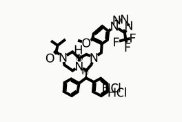 COc1ccc(-n2nnnc2C(F)(F)F)cc1CN1C[C@@H]2CN(C(=O)C(C)C)CCN2[C@H](C(c2ccccc2)c2ccccc2)C1.Cl.Cl